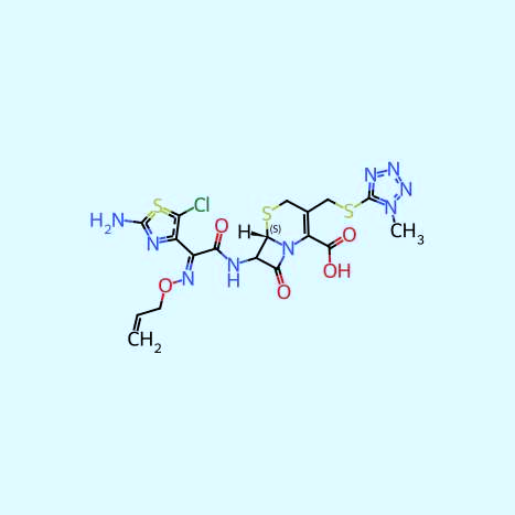 C=CCON=C(C(=O)NC1C(=O)N2C(C(=O)O)=C(CSc3nnnn3C)CS[C@@H]12)c1nc(N)sc1Cl